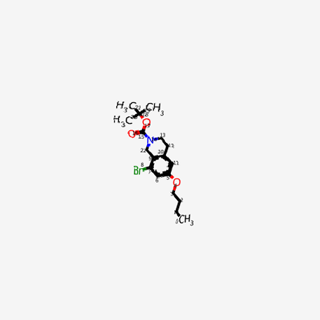 CCCCOc1cc(Br)c2c(c1)CCN(C(=O)OC(C)(C)C)C2